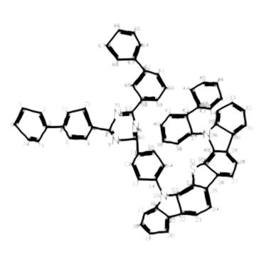 c1ccc(-c2ccc(-c3nc(-c4ccc(-n5c6ccccc6c6ccc7c8ccc9c%10ccccc%10n(-c%10ccccc%10-c%10ccccc%10)c9c8sc7c65)cc4)nc(-c4cccc(-c5ccccc5)c4)n3)cc2)cc1